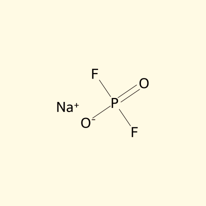 O=P([O-])(F)F.[Na+]